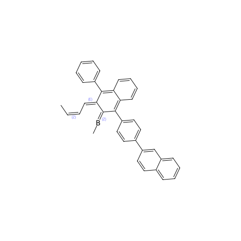 C/B=c1/c(-c2ccc(-c3ccc4ccccc4c3)cc2)c2ccccc2c(-c2ccccc2)/c1=C/C=C\C